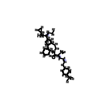 C=N/C(=C\C=C/Cc1ccc(N(C)C)nc1)C(=O)N1CCc2cc(/C(=C\CC)NC3CC3)sc2-c2ccccc21